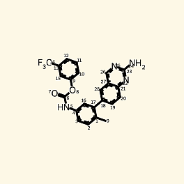 Cc1ccc(NC(=O)Oc2cccc(C(F)(F)F)c2)cc1-c1ccc2nc(N)ncc2c1